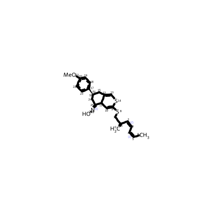 C=C(/C=C\C=C/C)CSC1=CC2C(=CS1)C[C@H](c1ccc(OC)cc1)C/C2=N\O